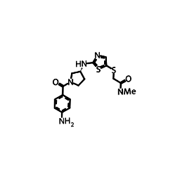 CNC(=O)CSc1cnc(N[C@@H]2CCN(C(=O)c3ccc(N)cc3)C2)s1